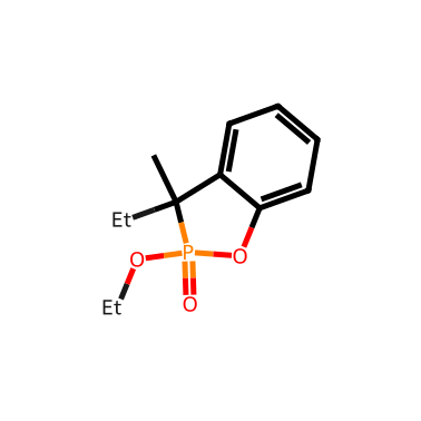 CCOP1(=O)Oc2ccccc2C1(C)CC